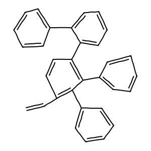 C=Cc1ccc(-c2ccccc2-c2ccccc2)c(-c2ccccc2)c1-c1ccccc1